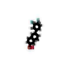 Oc1ccc2cc(-c3ccc(F)c(F)c3)ccc2c1